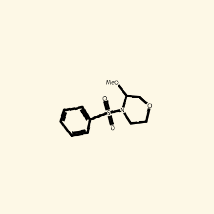 COC1COCCN1S(=O)(=O)c1ccccc1